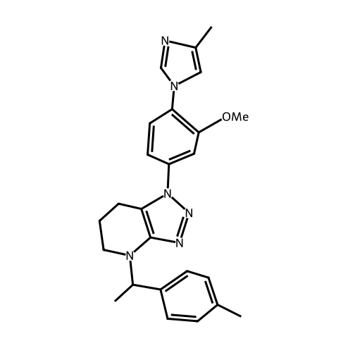 COc1cc(-n2nnc3c2CCCN3C(C)c2ccc(C)cc2)ccc1-n1cnc(C)c1